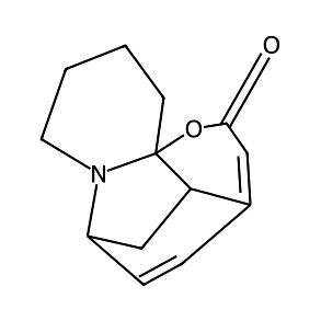 O=C1C=C2C=CC3CC2C2(CCCCN32)O1